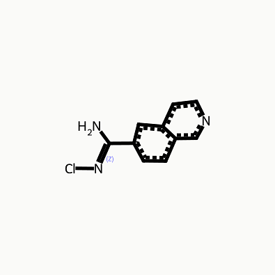 N/C(=N\Cl)c1ccc2cnccc2c1